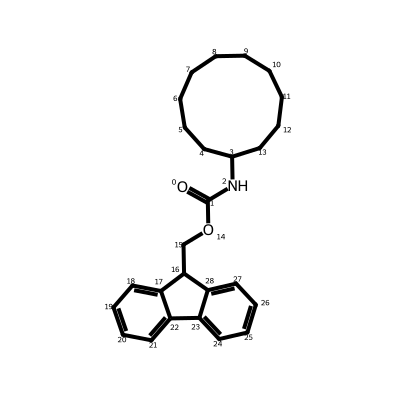 O=C(NC1CCCCCCCCCC1)OCC1c2ccccc2-c2ccccc21